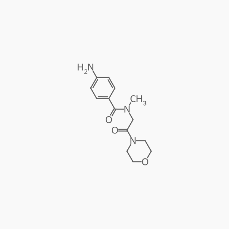 CN(CC(=O)N1CCOCC1)C(=O)c1ccc(N)cc1